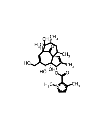 CC1=C[C@]23C(=O)[C@@H](C=C(CO)[C@@H](O)[C@]2(O)[C@H]1OC(=O)c1c(C)ccn1C)C(C)(C)[C@@H](C)C[C@H]3C